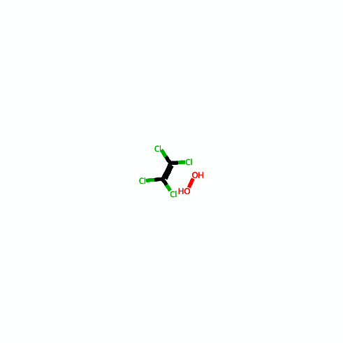 ClC(Cl)=C(Cl)Cl.OO